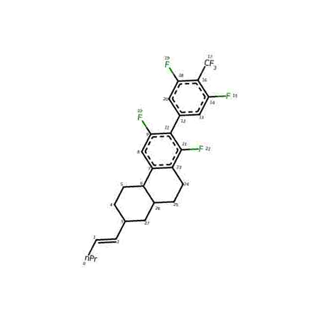 CCC/C=C/C1CCC2c3cc(F)c(-c4cc(F)c(C(F)(F)F)c(F)c4)c(F)c3CCC2C1